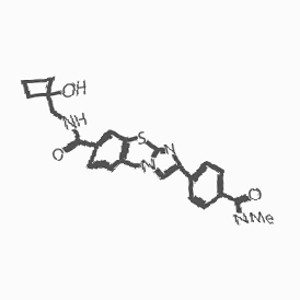 CNC(=O)c1ccc(-c2cn3c(n2)sc2cc(C(=O)NCC4(O)CCC4)ccc23)cc1